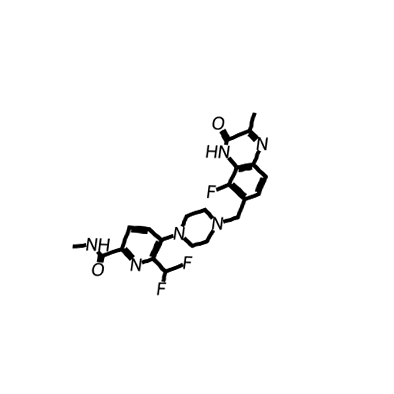 CNC(=O)c1ccc(N2CCN(Cc3ccc4nc(C)c(=O)[nH]c4c3F)CC2)c(C(F)F)n1